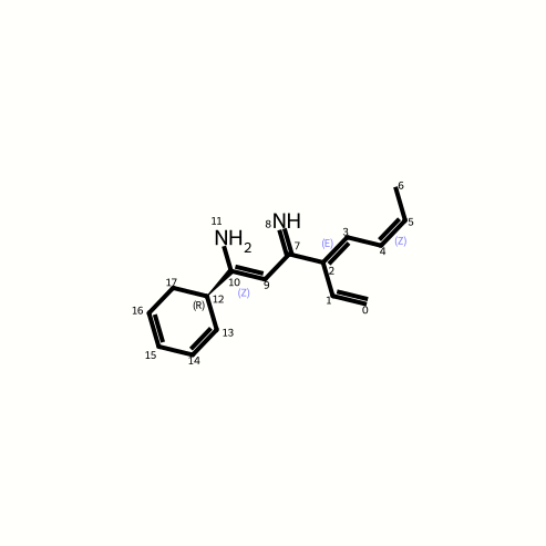 C=C/C(=C\C=C/C)C(=N)/C=C(\N)[C@H]1C=CC=CC1